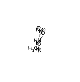 Cn1cncc1-c1ccc(NCC2CCC3(CC2)CN(c2ccccn2)C(=O)O3)nc1